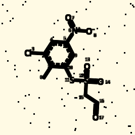 Cc1c(Cl)cc([N+](=O)[O-])cc1SS(=O)(=O)CC=O